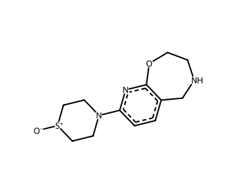 [O-][S+]1CCN(c2ccc3c(n2)OCCNC3)CC1